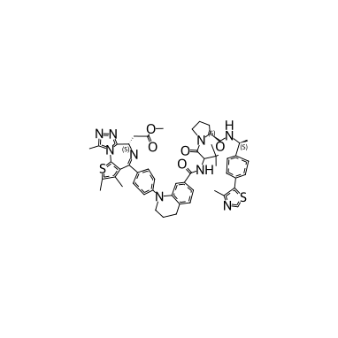 COC(=O)C[C@@H]1N=C(c2ccc(N3CCCc4ccc(C(=O)NC(C(=O)N5CCC[C@H]5C(=O)N[C@@H](C)c5ccc(-c6scnc6C)cc5)C(C)(C)C)cc43)cc2)c2c(sc(C)c2C)-n2c(C)nnc21